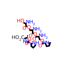 C[C@@H](OC(=O)[C@@H]1CCCN1)[C@H](N)C(=O)O.N[C@@H](CO)C(=O)OC[C@H](N)C(=O)OC(=O)[C@@H](N)COC(=O)[C@@H]1CCCN1